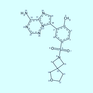 Cc1ccc(S(=O)(=O)N2CC3(CCOC3)C2)cc1-c1cnc2c(N)ncnn12